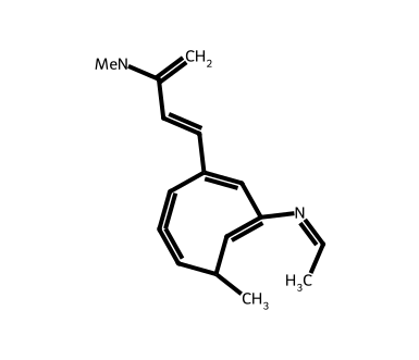 C=C(/C=C/C1=C/C(/N=C\C)=C/C(C)C=C=C1)NC